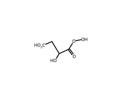 O=C(O)CC(O)C(=O)OO